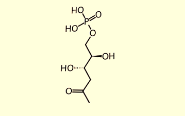 CC(=O)C[C@H](O)[C@H](O)COP(=O)(O)O